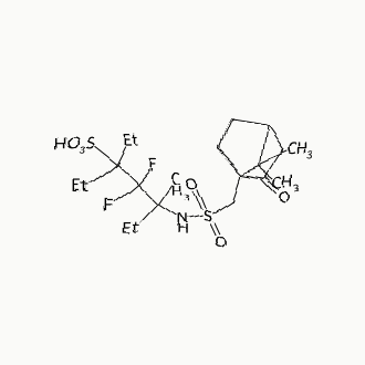 CCC(C)(NS(=O)(=O)CC12CCC(CC1=O)C2(C)C)C(F)(F)C(CC)(CC)S(=O)(=O)O